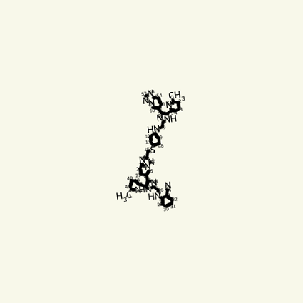 Cc1cccc(-c2[nH]c(CNc3ccc(SCc4nc5ccc(-c6nc(CNc7ccccc7C#N)[nH]c6-c6cccc(C)n6)cn5n4)cc3)nc2-c2ccc3ncnn3c2)n1